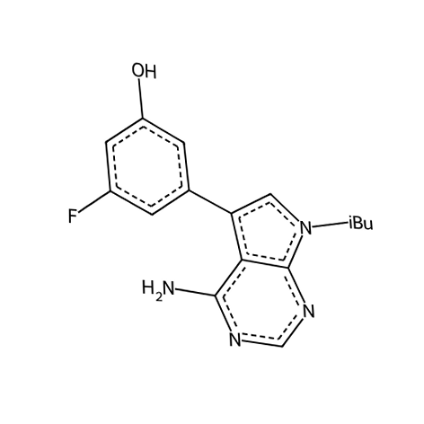 CCC(C)n1cc(-c2cc(O)cc(F)c2)c2c(N)ncnc21